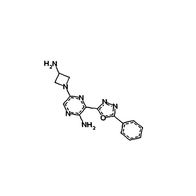 Nc1ncc(N2CC(N)C2)nc1-c1nnc(-c2ccccc2)o1